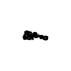 O=C(OC1C[N+]2(CCOCc3ccccc3)CCC1CC2)C(O)(c1cccs1)c1cccs1